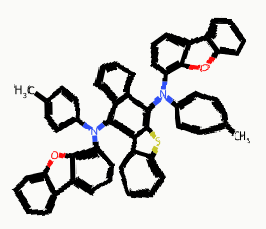 Cc1ccc(N(c2cccc3c2oc2ccccc23)c2c3ccccc3c(N(c3ccc(C)cc3)c3cccc4c3oc3ccccc34)c3c2sc2ccccc23)cc1